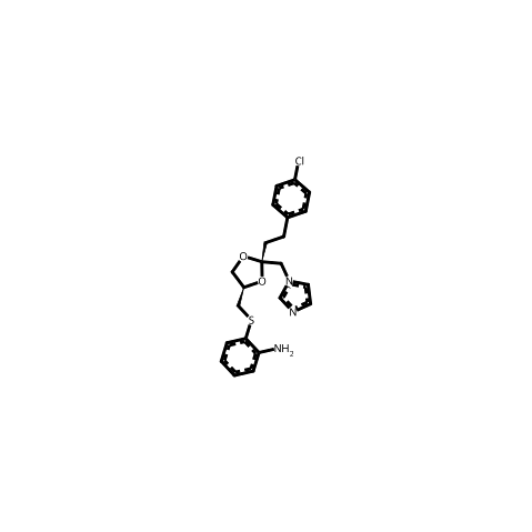 Nc1ccccc1SC[C@H]1CO[C@](CCc2ccc(Cl)cc2)(Cn2ccnc2)O1